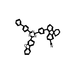 N#Cc1ccc2c(c1)C1(CCCCC1)c1cccc(-c3ccc(-c4nc(-c5ccc(-c6ccccc6)cc5)nc(-c5ccc6c(c5)oc5ccccc56)n4)cc3)c1-2